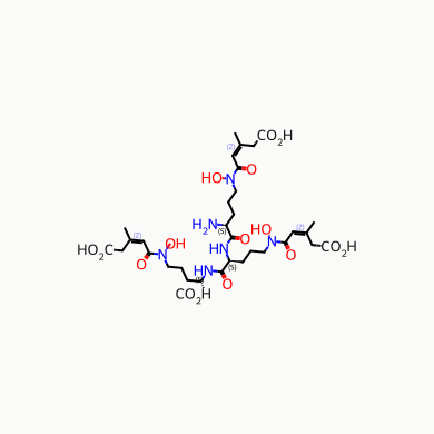 C/C(=C/C(=O)N(O)CCC[C@H](NC(=O)[C@H](CCCN(O)C(=O)/C=C(/C)CC(=O)O)NC(=O)[C@@H](N)CCCN(O)C(=O)/C=C(/C)CC(=O)O)C(=O)O)CC(=O)O